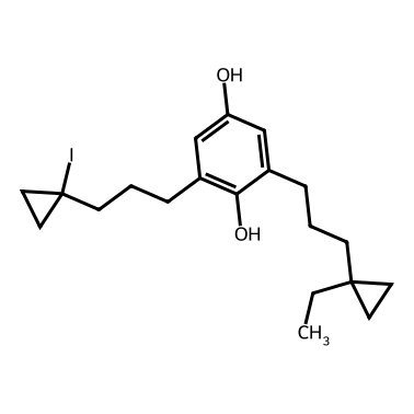 CCC1(CCCc2cc(O)cc(CCCC3(I)CC3)c2O)CC1